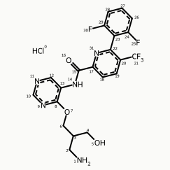 Cl.NCC(CO)COc1ncncc1NC(=O)c1ccc(C(F)(F)F)c(-c2c(F)cccc2F)n1